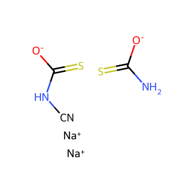 N#CNC([O-])=S.NC([O-])=S.[Na+].[Na+]